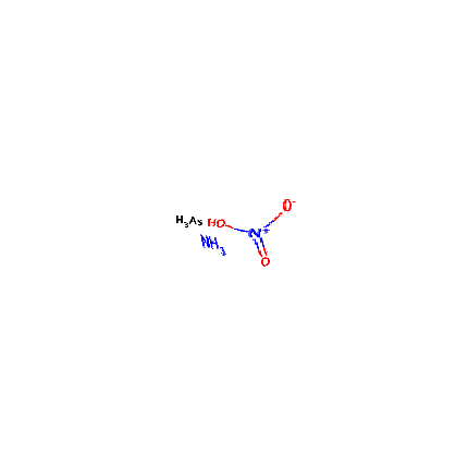 N.O=[N+]([O-])O.[AsH3]